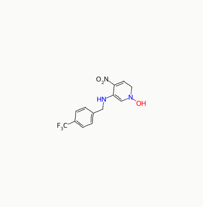 O=[N+]([O-])C1=CCN(O)C=C1NCc1ccc(C(F)(F)F)cc1